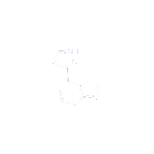 c1cc(-c2cc[nH]n2)c2ocnc2c1